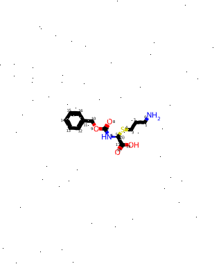 NCCCS[C@H](NC(=O)OCc1ccccc1)C(=O)O